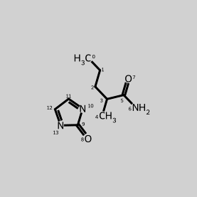 CCCC(C)C(N)=O.O=C1N=CC=N1